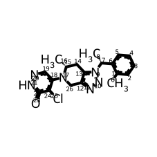 Cc1ccccc1[C@@H](C)n1nnc2c1C[C@@H](C)N(c1cn[nH]c(=O)c1Cl)C2